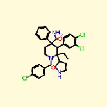 CCC1(C2CCNC2)C(c2ccc(Cl)c(Cl)c2)C(C(N)=O)(c2ccccc2)CCN1C(=O)c1ccc(Cl)cc1